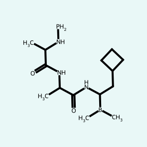 CB(C)C(CC1CCC1)NC(=O)C(C)NC(=O)C(C)NP